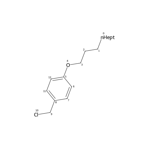 CCCCCCCCCCOc1ccc(CCl)cc1